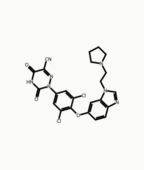 N#Cc1nn(-c2cc(Cl)c(Oc3ccc4ncn(CCN5CCCC5)c4c3)c(Cl)c2)c(=O)[nH]c1=O